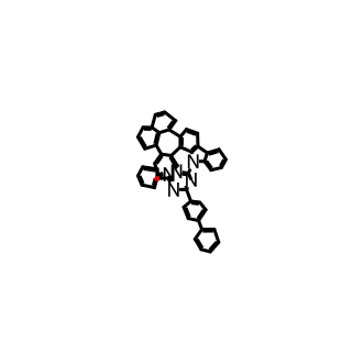 c1ccc(-c2ccc(-c3nc(-c4ccccc4)nc(-n4c5ccccc5c5ccc6c(c54)-c4cnccc4-c4cccc5cccc-6c45)n3)cc2)cc1